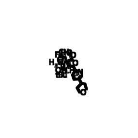 CC(Cc1ccc(C2CCOCC2)cn1)[C@@](CC(C)(C)F)(C(=O)OO)N(C)C(=O)OC(C)(C)C